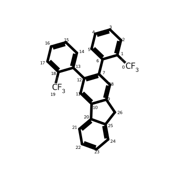 FC(F)(F)c1ccccc1-c1[c]c2c(cc1-c1ccccc1C(F)(F)F)-c1ccccc1C2